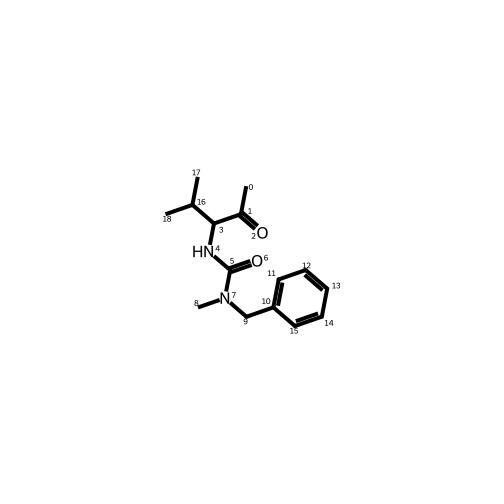 CC(=O)C(NC(=O)N(C)Cc1ccccc1)C(C)C